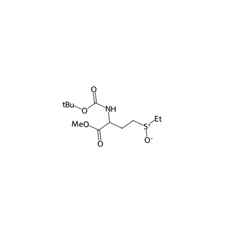 CC[S+]([O-])CCC(NC(=O)OC(C)(C)C)C(=O)OC